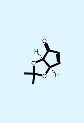 CC1(C)O[C@@H]2C=CC(=O)[C@@H]2O1